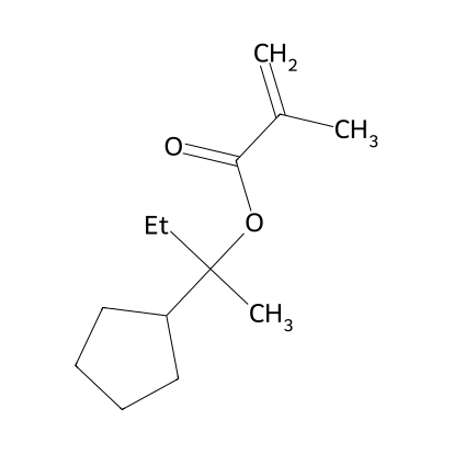 C=C(C)C(=O)OC(C)(CC)C1CCCC1